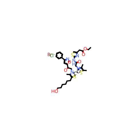 CCOC(=O)Cc1csc(NC(=O)Cn2c(C)c(C)s[c+]2-[c+]2sc(CCCCCCO)c(C)n2CC(=O)c2cc(-c3ccccc3)no2)n1.[Br-].[Cl-]